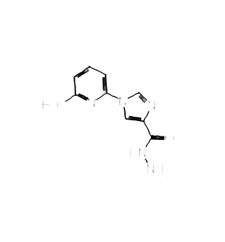 Cc1cccc(-n2cnc(C(=O)NN)c2)n1